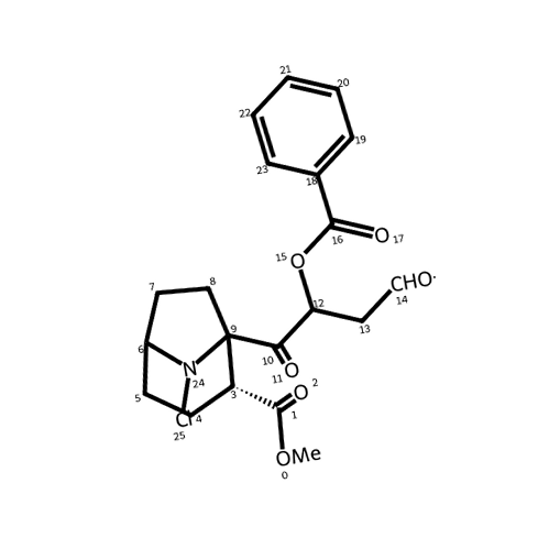 COC(=O)[C@@H]1CCC2CCC1(C(=O)C(C[C]=O)OC(=O)c1ccccc1)N2Cl